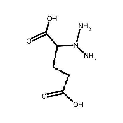 NN(N)C(CCC(=O)O)C(=O)O